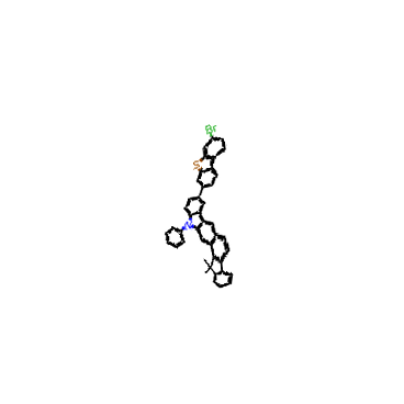 CC1(C)c2ccccc2-c2ccc3cc4c5cc(-c6ccc7c(c6)sc6cc(Br)ccc67)ccc5n(-c5ccccc5)c4cc3c21